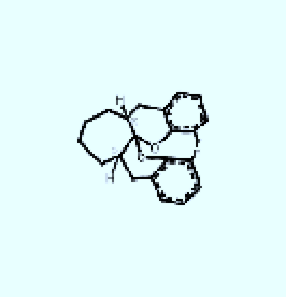 Fc1cccc2c1OC13Oc4c(F)cccc4C[C@@H]1CCCC[C@@H]3C2